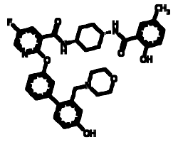 Cc1ccc(O)c(C(=O)N[C@H]2CC[C@H](NC(=O)c3cc(F)cnc3Oc3cccc(-c4ccc(O)cc4CN4CCOCC4)c3)CC2)c1